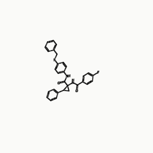 O=C(NC1(C(=O)Nc2ccc(SCc3ccccc3)cc2)CC1c1ccccc1)c1ccc(F)cc1